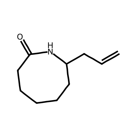 C=CCC1CCCCCC(=O)N1